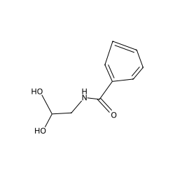 O=C(NCC(O)O)c1ccccc1